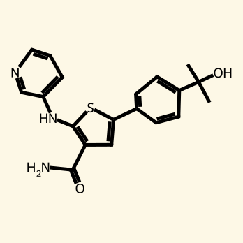 CC(C)(O)c1ccc(-c2cc(C(N)=O)c(Nc3cccnc3)s2)cc1